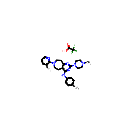 CN1CCN(c2nc3c(c(Nc4ccc(C(F)(F)F)cc4)n2)CCN(c2ncccc2C(F)(F)F)CC3)CC1.O=C(O)C(F)(F)F